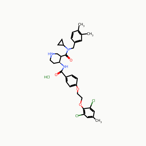 Cc1cc(Cl)c(OCCOc2ccc(C(=O)N[C@H]3CCNCC3C(=O)N(Cc3ccc(C)c(C)c3)C3CC3)cc2)c(Cl)c1.Cl